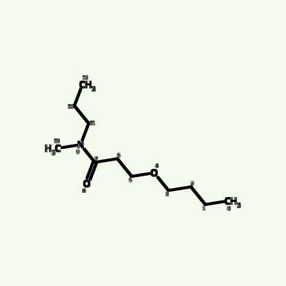 CCCCOCCC(=O)N(C)CCC